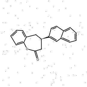 O=C1C[C@H](c2ccc3ccccc3c2)Cc2ccccc2O1